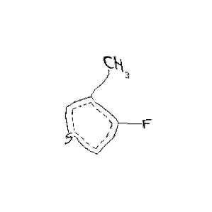 Cc1cscc1F